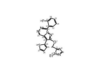 CCn1ncnc1COc1nn2c(-c3ccccc3F)nncc2c1-c1cccs1